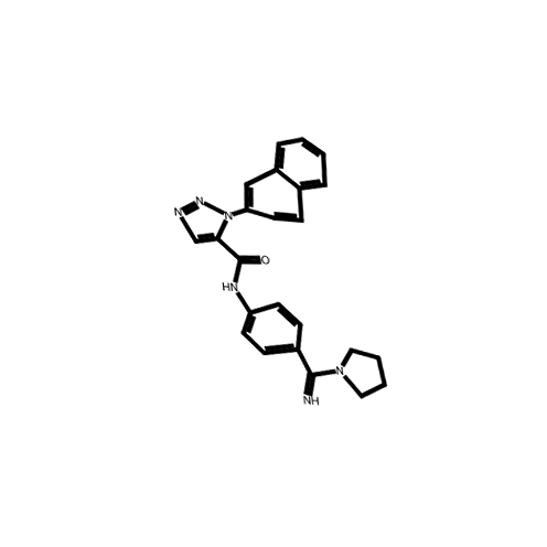 N=C(c1ccc(NC(=O)c2cnnn2-c2ccc3ccccc3c2)cc1)N1CCCC1